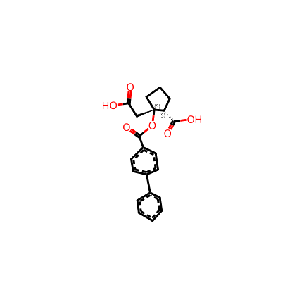 O=C(O)C[C@@]1(OC(=O)c2ccc(-c3ccccc3)cc2)CCC[C@@H]1C(=O)O